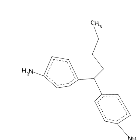 CCCCC(c1ccc(N)cc1)c1ccc(N)cc1